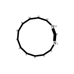 C1=NCCCCCCCCCCCN=1